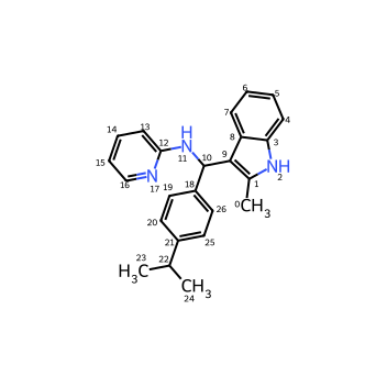 Cc1[nH]c2ccccc2c1C(Nc1ccccn1)c1ccc(C(C)C)cc1